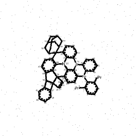 CC(C)c1cccc(C(C)C)c1N1c2ccccc2B2c3cccc4c3N3c5c(ccc1c52)C12c5ccccc5C15c1ccccc1C5c1ccc(c3c12)C41C2CC3CC(C2)CC1C3